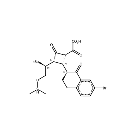 C[SiH](C)OC[C@H]([C@@H]1C(=O)N(C(=O)C(=O)O)[C@@H]1[C@@H]1CCc2ccc(Br)cc2C1=O)C(C)(C)C